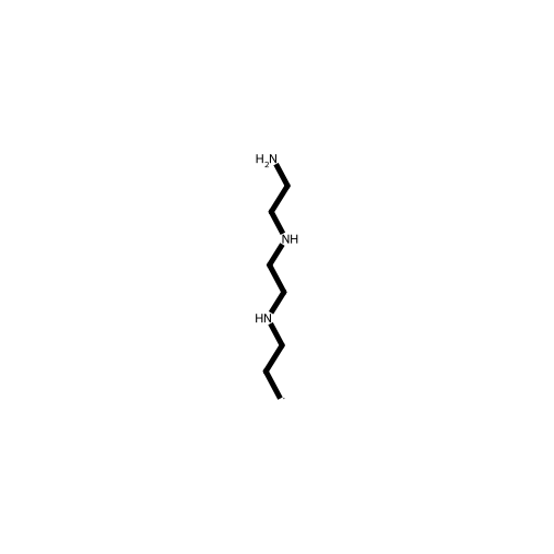 [CH2]CCNCCNCCN